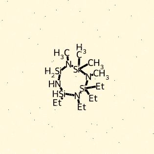 CCN1[SiH](CC)N[SiH2]N(C)[Si](C)(C)N(C)[Si]1(CC)CC